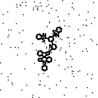 c1ccc(N2c3ccccc3C3(c4ccccc4-c4cc(-c5cccc(-c6cc(-c7nc8ccccc8s7)cc(-c7nc8ccccc8s7)c6)n5)ccc43)c3ccccc32)cc1